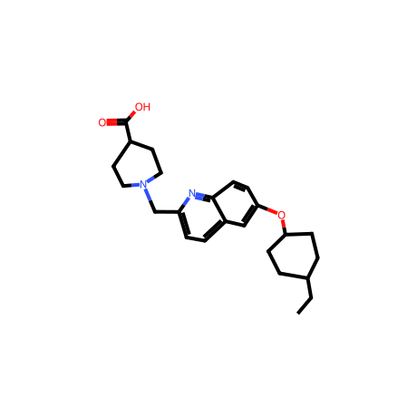 CCC1CCC(Oc2ccc3nc(CN4CCC(C(=O)O)CC4)ccc3c2)CC1